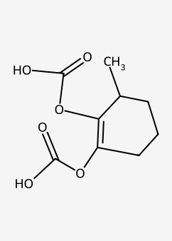 CC1CCCC(OC(=O)O)=C1OC(=O)O